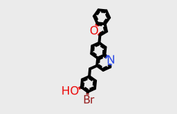 Oc1cc(Cc2ccnc3cc(-c4cc5ccccc5o4)ccc23)ccc1Br